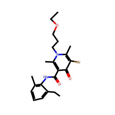 CCOCCCn1c(C)c(Br)c(=O)c(C(=O)Nc2c(C)cccc2CC)c1C